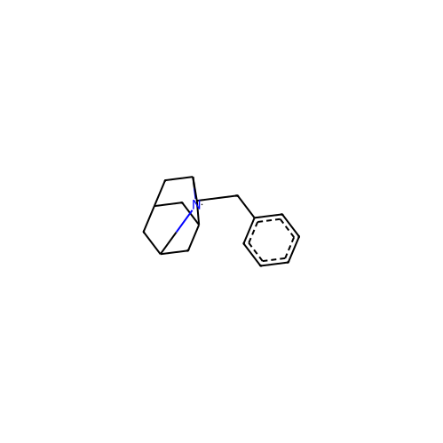 c1ccc(CC2C3CC4CC(C3)[N]C2C4)cc1